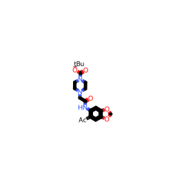 CC(=O)c1cc2c(cc1NC(=O)CN1CCN(C(=O)OC(C)(C)C)CC1)OCO2